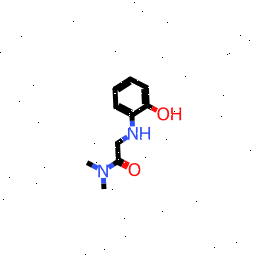 CN(C)C(=O)CNc1ccccc1O